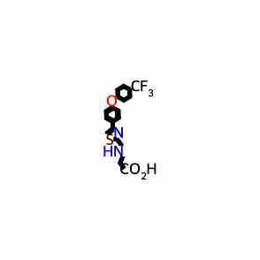 O=C(O)CCNCc1nc(-c2ccc(OC3CCC(C(F)(F)F)CC3)cc2)cs1